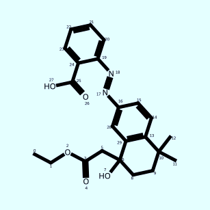 CCOC(=O)CC1(O)CCC(C)(C)c2ccc(N=Nc3ccccc3C(=O)O)cc21